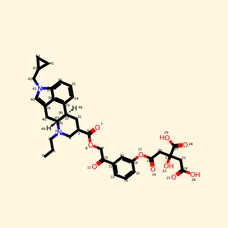 CCCN1CC(C(=O)OCC(=O)c2cccc(OC(=O)CC(O)(CC(=O)O)C(=O)O)c2)C[C@@H]2c3cccc4c3c(cn4CC3CC3)C[C@H]21